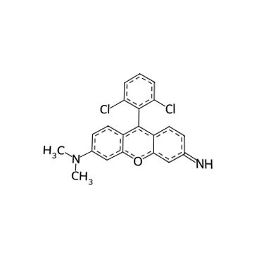 CN(C)c1ccc2c(-c3c(Cl)cccc3Cl)c3ccc(=N)cc-3oc2c1